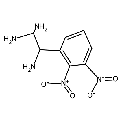 NC(N)C(N)c1cccc([N+](=O)[O-])c1[N+](=O)[O-]